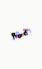 N#Cc1ccccc1C(=O)Nc1cccc(COc2cncc(C(N)=O)c2)c1